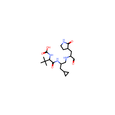 CC(C)(C)C(NC(=O)O)C(=O)NC(CNC(C=O)CC1CCNC1=O)CC1CC1